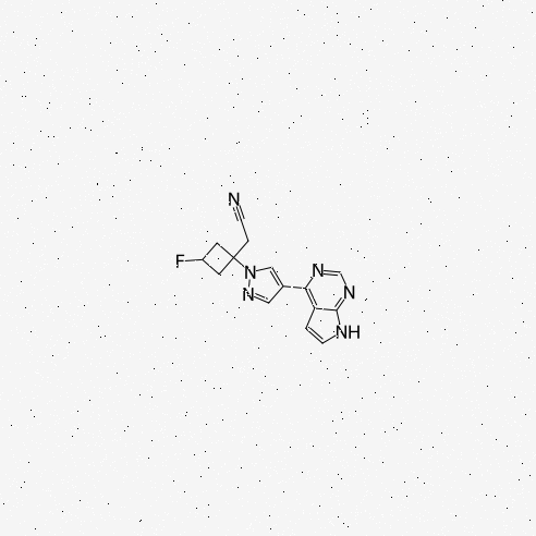 N#CCC1(n2cc(-c3ncnc4[nH]ccc34)cn2)CC(F)C1